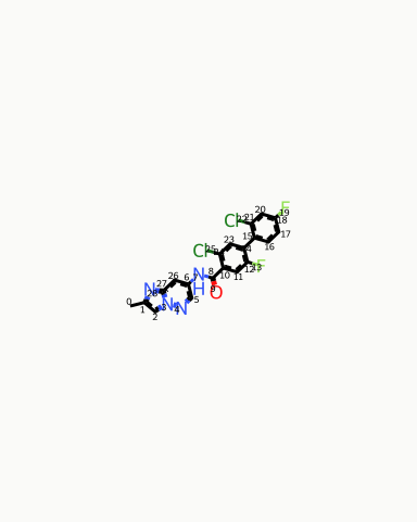 Cc1cn2ncc(NC(=O)c3cc(F)c(-c4ccc(F)cc4Cl)cc3Cl)cc2n1